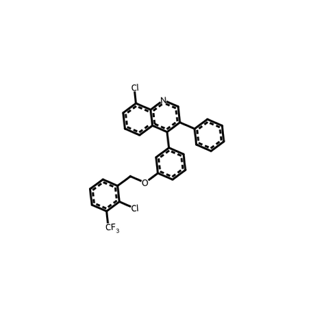 FC(F)(F)c1cccc(COc2cccc(-c3c(-c4ccccc4)cnc4c(Cl)cccc34)c2)c1Cl